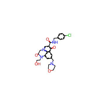 O=C(NCc1ccc(Cl)cc1)c1cn2c3c(cc(CN4CCOCC4)cc3c1=O)N(CCO)C(=O)C2